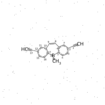 C#Cc1ccc2c(c1)C=Cc1cc(C#C)ccc1B2C